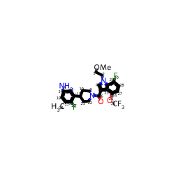 COCCn1cc(C(=O)N2CCC(c3cc(N)cc(C)c3F)CC2)c2c(OC(F)(F)F)ccc(F)c21